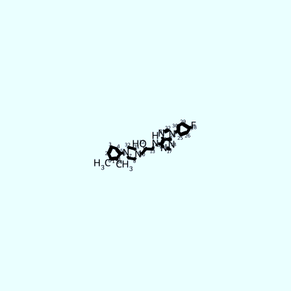 Cc1cccc(N2CCN(CC(O)CNc3ncnc4c3ncn4-c3ccc(F)cc3)CC2)c1C